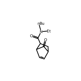 CCCCN(CC)C(=O)C1CC2C=CC1C2=O